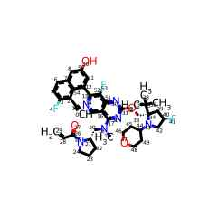 C#Cc1c(F)ccc2cc(O)cc(-c3ncc4c(N(C)C[C@@H]5CCCN5C(=O)C=C)nc(OC[C@]5(C(C)(C)C)C[C@@H](F)CN5C5CCOCC5)nc4c3F)c12